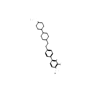 CCCC1CCC(C2CCC(CCc3ccc(-c4ccc(OCC)c(F)c4F)cc3)CC2)CC1